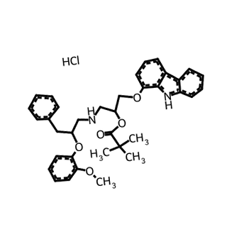 COc1ccccc1OC(CNCC(COc1cccc2c1[nH]c1ccccc12)OC(=O)C(C)(C)C)Cc1ccccc1.Cl